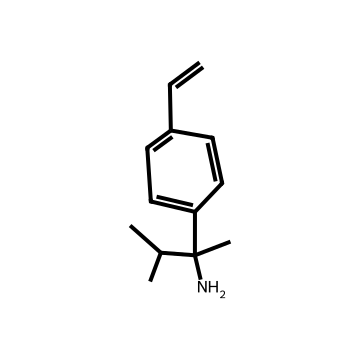 C=Cc1ccc(C(C)(N)C(C)C)cc1